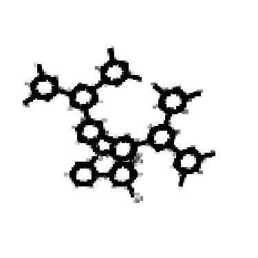 Cc1cc(C)cc(-c2cc(-c3cc(C)cc(C)c3)cc(-c3ccc4c(c3)c3cc(-c5cc(-c6cc(C)cc(C)c6)cc(-c6cc(C)cc(C)c6)c5)ccc3n4-c3ccccc3-c3cc(C(F)(F)F)cc(C(F)(F)F)c3)c2)c1